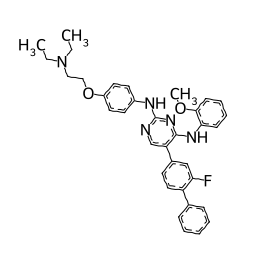 CCN(CC)CCOc1ccc(Nc2ncc(-c3ccc(-c4ccccc4)c(F)c3)c(Nc3ccccc3OC)n2)cc1